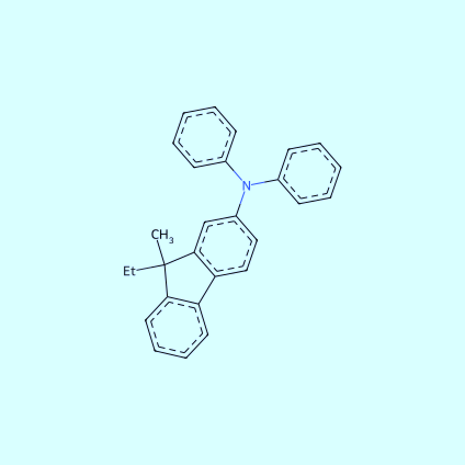 CCC1(C)c2ccccc2-c2ccc(N(c3ccccc3)c3ccccc3)cc21